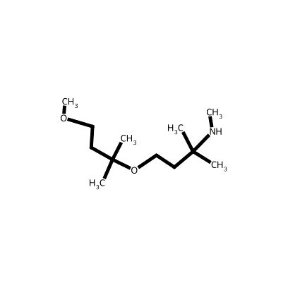 CNC(C)(C)CCOC(C)(C)CCOC